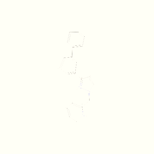 c1ccc(-c2cccc(-c3ccn(Cc4ccccn4)n3)c2)cc1